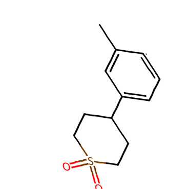 Cc1[c]ccc(C2CCS(=O)(=O)CC2)c1